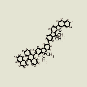 CC1(C)c2ccc(-c3ccc4c(c3)C(C)(C)c3c-4ccc4c3sc3c5ccccc5ccc43)cc2-c2ccc(-c3c4ccccc4c(-c4cccc5ccccc45)c4ccccc34)cc21